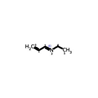 C=C/C=N/CC